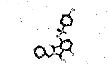 C=C1c2c(Cl)ccc(NS(=O)(=O)c3ccc(C(C)(C)C)cc3)c2C(=O)N1Cc1ccncc1